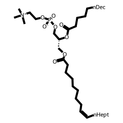 CCCCCCC/C=C\CCCCCCCC(=O)OC[C@H](COP(=O)([O-])OCC[N+](C)(C)C)OC(=O)CCCCCCCCCCCCCC